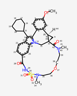 COc1ccc2c(c1)[C@H]1C[C@@]13Cn1c-2c(C2CCCCC2)c2ccc(cc21)C(=O)NS(=O)(=O)N(C)CCOCCN(C)C3=O